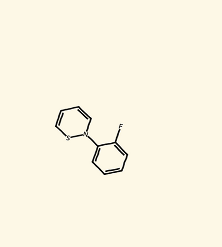 Fc1ccccc1N1C=CC=CS1